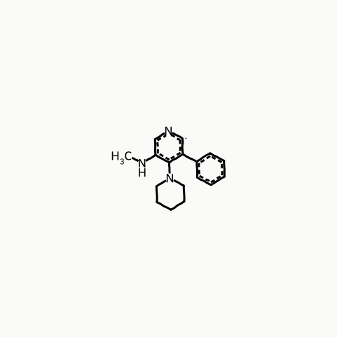 CNc1cn[c]c(-c2ccccc2)c1N1CCCCC1